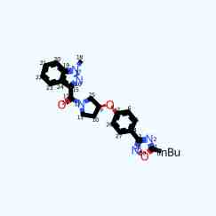 CCCCc1nc(-c2ccc(O[C@H]3CCN(C(=O)c4nn(C)c5ccccc45)C3)cc2)no1